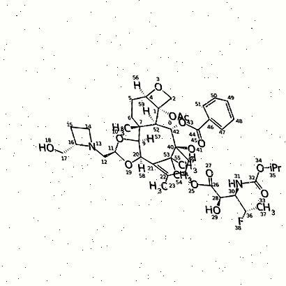 CC(=O)O[C@@]12CO[C@@H]1CC[C@@]1(C)[C@@H]3O[C@H](CN4CC[C@H]4CO)O[C@@H]3C3=C(C)[C@@H](OC(=O)[C@H](O)[C@@H](NC(=O)OC(C)C)[C@H](C)F)C[C@@](O)([C@@H](OC(=O)c4ccccc4)[C@@H]12)C3(C)C